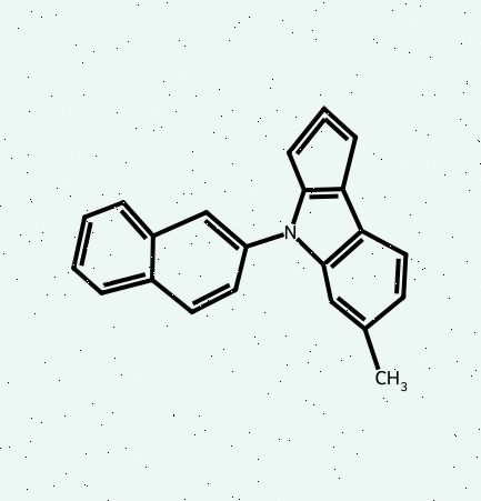 Cc1ccc2c3c(n(-c4ccc5ccccc5c4)c2c1)C=C=C3